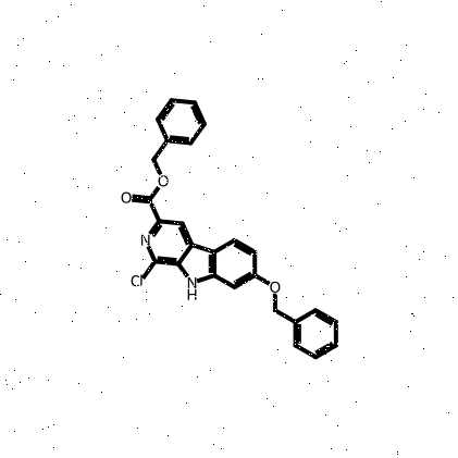 O=C(OCc1ccccc1)c1cc2c([nH]c3cc(OCc4ccccc4)ccc32)c(Cl)n1